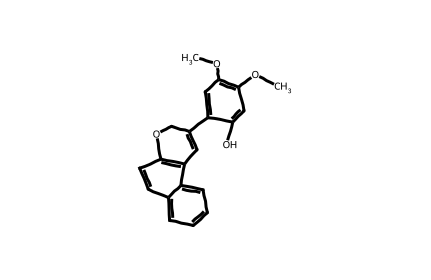 COc1cc(O)c(C2=Cc3c(ccc4ccccc34)OC2)cc1OC